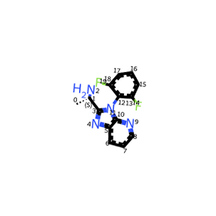 C[C@H](N)c1nc2cccnc2n1-c1c(F)cccc1F